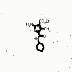 CCOC(=O)c1c(N)sc(C(=O)NC2CCCCC2)c1C